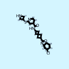 O=C(NC1CC2(C1)CC(c1nc3cc(Cl)ccc3o1)C2)c1ccnc(SC2CNC2)c1